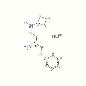 CN(CC[C@@H](N)CSc1ccccc1)C1CCC1.Cl